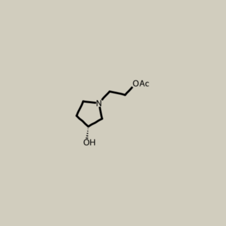 CC(=O)OCCN1CC[C@@H](O)C1